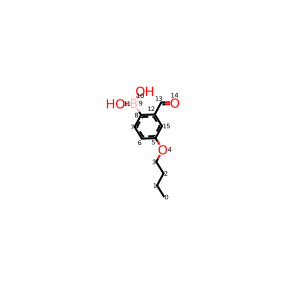 CCCCOc1ccc(B(O)O)c(C=O)c1